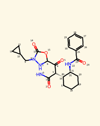 [NH]C(=O)C(C(=O)C1NN(CC2CC2)C(=O)O1)[C@H]1CCCC[C@@H]1NC(=O)c1ccccc1